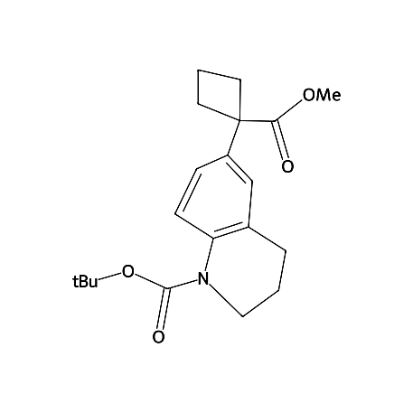 COC(=O)C1(c2ccc3c(c2)CCCN3C(=O)OC(C)(C)C)CCC1